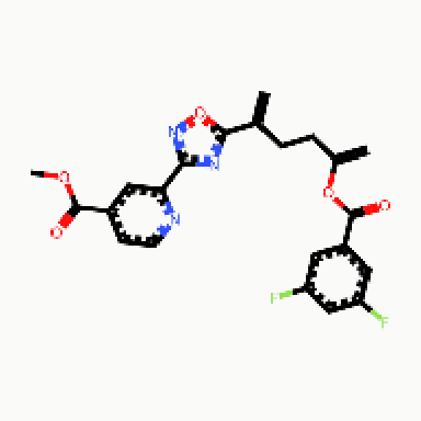 C=C(CCC(=C)c1nc(-c2cc(C(=O)OC)ccn2)no1)OC(=O)c1cc(F)cc(F)c1